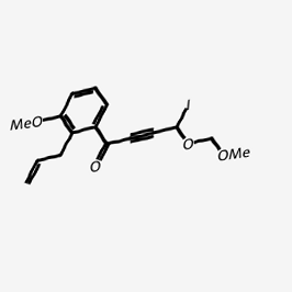 C=CCc1c(OC)cccc1C(=O)C#CC(I)OCOC